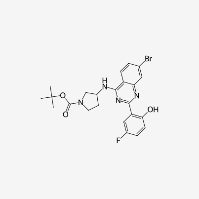 CC(C)(C)OC(=O)N1CCC(Nc2nc(-c3cc(F)ccc3O)nc3cc(Br)ccc23)C1